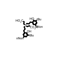 CCCCCCCCCc1cc(CCCS(CCCc2cc(CCCCCCCCC)cc(C(C)(C)C)c2O)(CCC(=O)O)CCC(=O)O)c(O)c(C(C)(C)C)c1